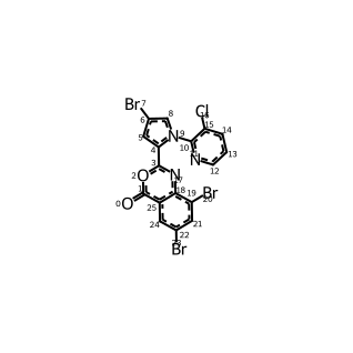 O=c1oc(-c2cc(Br)cn2-c2ncccc2Cl)nc2c(Br)cc(Br)cc12